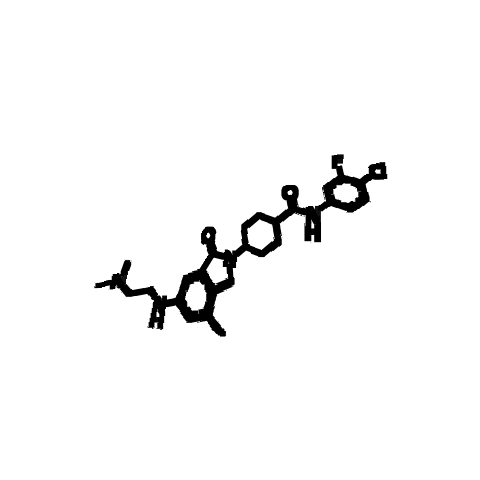 Cc1cc(NCCN(C)C)cc2c1CN(C1CCC(C(=O)Nc3ccc(Cl)c(F)c3)CC1)C2=O